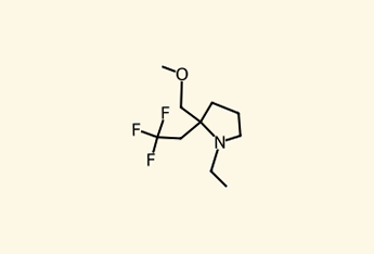 CCN1CCCC1(COC)CC(F)(F)F